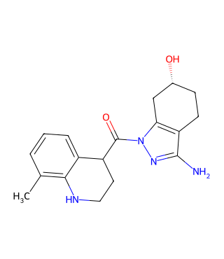 Cc1cccc2c1NCCC2C(=O)n1nc(N)c2c1C[C@H](O)CC2